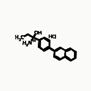 CC[C@](N)(O)c1ccc(-c2ccc3ccccc3c2)cc1.Cl